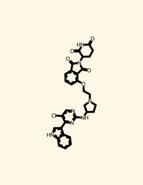 O=C1CCC(N2C(=O)c3cccc(OCCN4CCC(Nc5ncc(Cl)c(-c6c[nH]c7ccccc67)n5)C4)c3C2=O)C(=O)N1